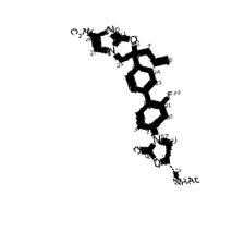 C=CCC1(C2C=CC(c3ccc(N4C[C@H](CNC(C)=O)OC4=O)cc3F)=CC2)Cn2cc([N+](=O)[O-])nc2O1